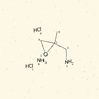 CC1(CN)CO1.Cl.Cl.N